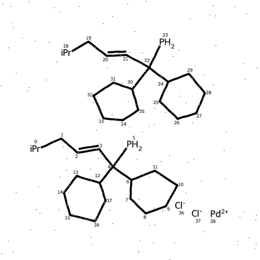 CC(C)CC=CC(P)(C1CCCCC1)C1CCCCC1.CC(C)CC=CC(P)(C1CCCCC1)C1CCCCC1.[Cl-].[Cl-].[Pd+2]